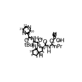 CCCC(NC(=O)[C@H]1C[C@@H]2CCC[C@@H]2N1C(=O)[C@@H](NC(=O)c1cnccn1)C(C)(C)C)O[PH](=O)O